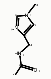 CC(=O)NCc1cn(C)cn1